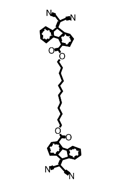 N#CC(C#N)=C1c2ccccc2-c2c(C(=O)OCCCCCCCCCCCCOC(=O)c3cccc4c3-c3ccccc3C4=C(C#N)C#N)cccc21